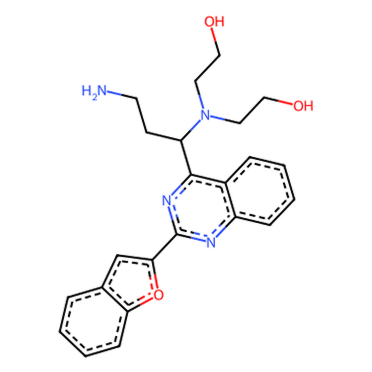 NCCC(c1nc(-c2cc3ccccc3o2)nc2ccccc12)N(CCO)CCO